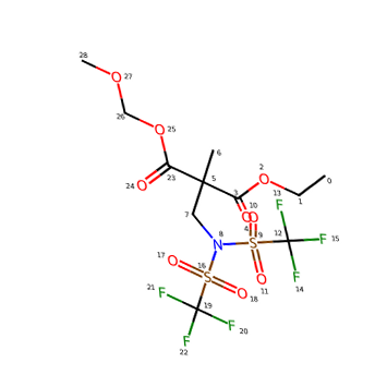 CCOC(=O)C(C)(CN(S(=O)(=O)C(F)(F)F)S(=O)(=O)C(F)(F)F)C(=O)OCOC